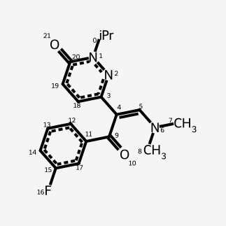 CC(C)n1nc(/C(=C/N(C)C)C(=O)c2cccc(F)c2)ccc1=O